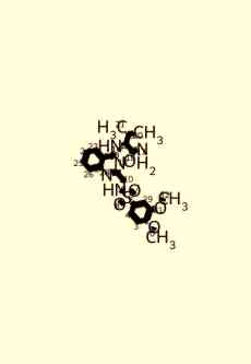 COc1ccc(S(=O)(=O)NCc2nc(N[C@H](C(N)=O)C(C)C)c3ccccc3n2)cc1OC